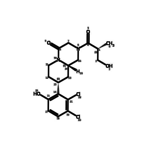 C[C@H](CO)C(=O)N1CC(=O)N2CC[C@@H](c3c(O)ccc(Cl)c3Cl)C[C@H]2C1